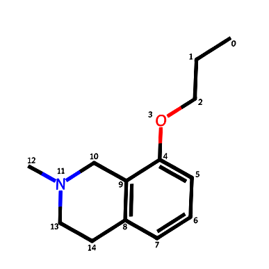 CCCOc1cccc2c1CN(C)CC2